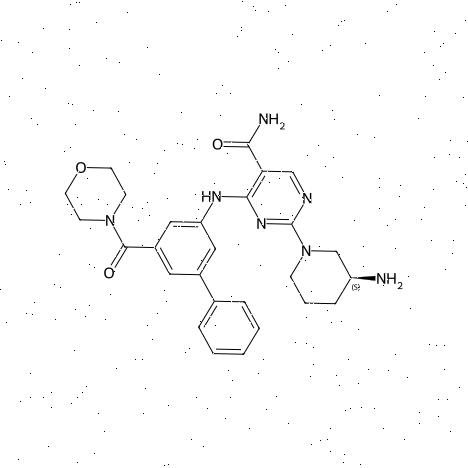 NC(=O)c1cnc(N2CCC[C@H](N)C2)nc1Nc1cc(C(=O)N2CCOCC2)cc(-c2ccccc2)c1